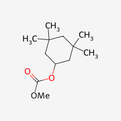 [CH2]OC(=O)OC1CC(C)(C)CC(C)(C)C1